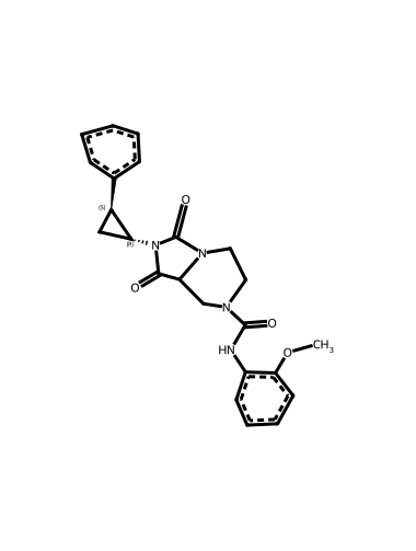 COc1ccccc1NC(=O)N1CCN2C(=O)N([C@@H]3C[C@H]3c3ccccc3)C(=O)C2C1